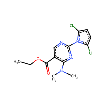 CCOC(=O)c1cnc(-n2c(Cl)ccc2Cl)nc1N(C)C